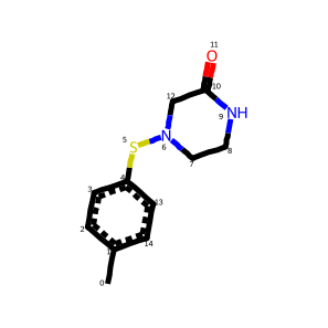 Cc1ccc(SN2CCNC(=O)C2)cc1